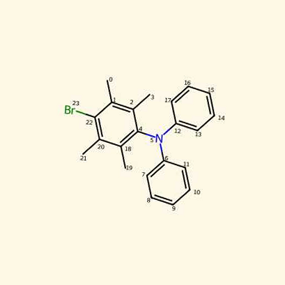 Cc1c(C)c(N(c2ccccc2)c2ccccc2)c(C)c(C)c1Br